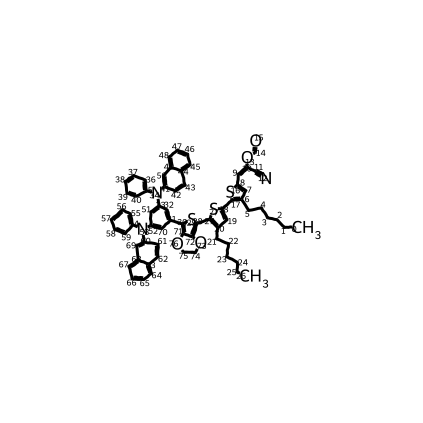 CCCCCCc1cc(/C=C(\C#N)OC=O)sc1-c1cc(CCCCCC)c(-c2sc(-c3cc(N(c4ccccc4)c4ccc5ccccc5c4)cc(N(c4ccccc4)c4ccc5ccccc5c4)c3)c3c2OCCO3)s1